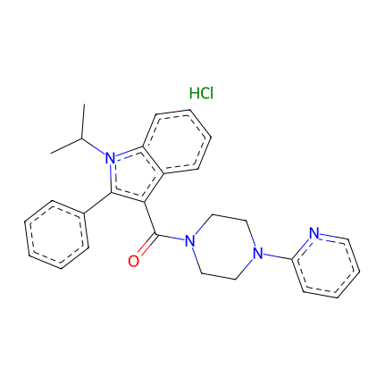 CC(C)n1c(-c2ccccc2)c(C(=O)N2CCN(c3ccccn3)CC2)c2ccccc21.Cl